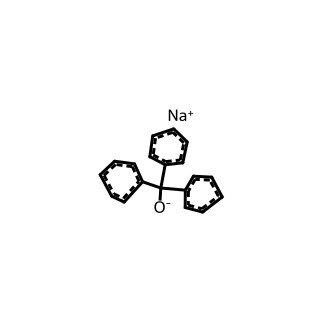 [Na+].[O-]C(c1ccccc1)(c1ccccc1)c1ccccc1